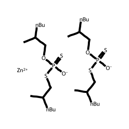 CCCCC(C)COP([O-])(=S)SCC(C)CCCC.CCCCC(C)COP([O-])(=S)SCC(C)CCCC.[Zn+2]